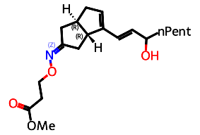 CCCCCC(O)C=CC1=CC[C@@H]2C/C(=N/OCCC(=O)OC)C[C@@H]12